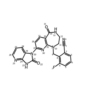 N#Cc1cccc(F)c1CN1CCNC(=O)c2ccc(-n3c(=O)[nH]c4ncccc43)nc21